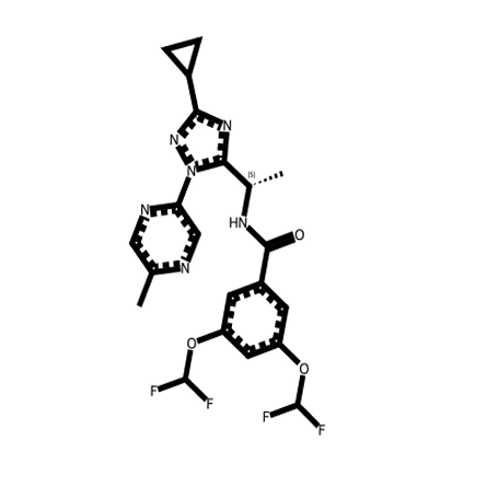 Cc1cnc(-n2nc(C3CC3)nc2[C@H](C)NC(=O)c2cc(OC(F)F)cc(OC(F)F)c2)cn1